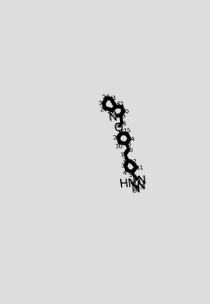 C(=Cc1ccc(-c2nnn[nH]2)cc1)c1ccc(OCc2ccc3ccccc3n2)cc1